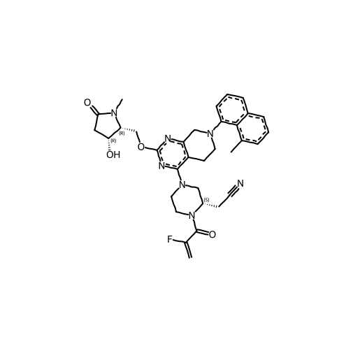 C=C(F)C(=O)N1CCN(c2nc(OC[C@@H]3[C@H](O)CC(=O)N3C)nc3c2CCN(c2cccc4cccc(C)c24)C3)C[C@@H]1CC#N